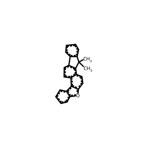 CC1(C)c2ccccc2-c2ccc3c(ccc4oc5ccccc5c43)c21